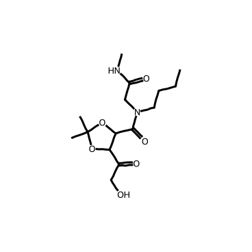 CCCCN(CC(=O)NC)C(=O)C1OC(C)(C)OC1C(=O)CO